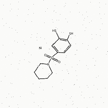 O=S(=O)(c1ccc(S)c(S)c1)N1CCCCC1.[Ni]